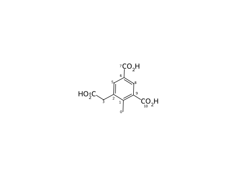 Cc1c(CC(=O)O)cc(C(=O)O)cc1C(=O)O